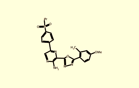 COc1ccc(-c2nnc(-c3nc(-c4ccc(S(=O)(=O)C(C)C)cc4)cnc3N)o2)c(C)c1